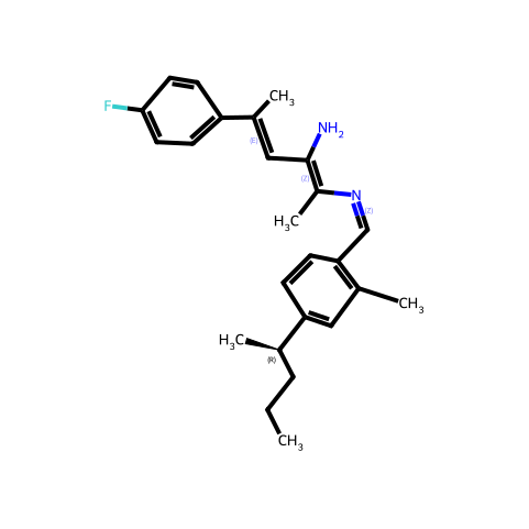 CCC[C@@H](C)c1ccc(\C=N/C(C)=C(N)/C=C(\C)c2ccc(F)cc2)c(C)c1